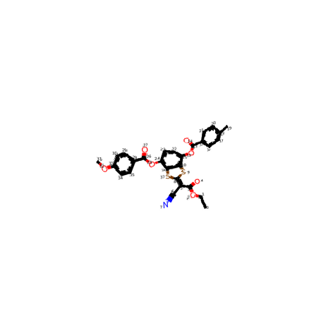 CCOC(=O)/C(C#N)=C1\Sc2c(OC(=O)c3ccc(C)cc3)ccc(OC(=O)c3ccc(OC)cc3)c2S1